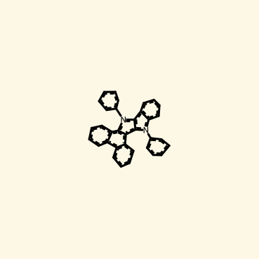 c1ccc(-n2c3ccccc3c3c2c2c4ccccc4c4ccccc4c2n3-c2ccccc2)cc1